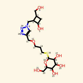 OCC1CC(O)C1Cn1cc(COCCCSC2OC(CO)C(O)C(O)C2O)nn1